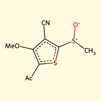 COc1c(C(C)=O)sc([S+](C)[O-])c1C#N